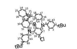 CC(C)(C)c1ccc(N2c3cc(Cl)cc4c3B3c5c2cccc5[Si](C)(c2ccccc2)c2cccc(c23)N4c2ccc(C(C)(C)C)cc2)cc1